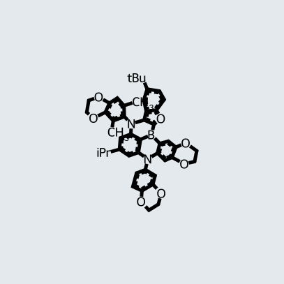 Cc1cc2c(c(C)c1N1c3cc(C(C)C)cc4c3B(c3cc5c(cc3N4c3ccc4c(c3)OCCO4)OCCO5)c3oc4ccc(C(C)(C)C)cc4c31)OCCO2